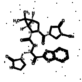 CC1(C)[C@@H]2[C@@H](C(=O)N[C@@H](C[C@@H]3CCNC3=O)C(=O)c3nc4ccccc4s3)N(C(=O)[C@@H]3CC(=O)N(C(C)(C)C)C3)C[C@@H]21